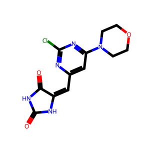 O=C1NC(=O)/C(=C\c2cc(N3CCOCC3)nc(Cl)n2)N1